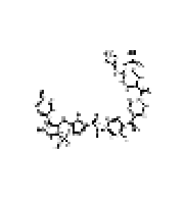 O=C(O)C[N+]1(CC2CNC2)CCC(C(=O)N2CCN(C(=O)c3ccc(NC(=O)c4ncc(Cc5c(C(F)(F)F)n[nH]c5-c5ccc(O)cn5)[nH]4)cc3Cl)CC2)CC1